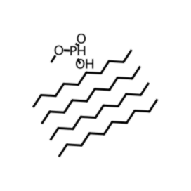 CCCCCCCCCC.CCCCCCCCCC.CCCCCCCCCC.CCCCCCCCCC.CO[PH](=O)O